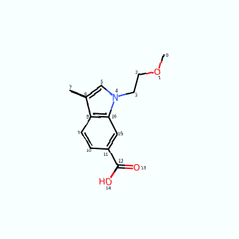 COCCn1cc(C)c2ccc(C(=O)O)cc21